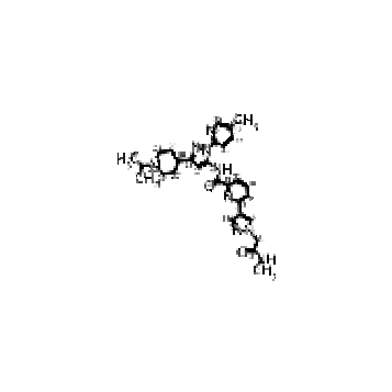 CNC(=O)Cn1cc(-c2cccc(C(=O)Nc3cc(C4CCN(C(C)C)CC4)nn3-c3ccc(C)cn3)n2)cn1